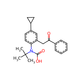 CC(C)(C)N(C(=O)O)c1ccc(C2CC2)cc1CC(=O)c1ccccc1